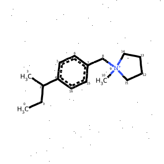 CCC(C)c1ccc(C[N+]2(C)CCCC2)cc1